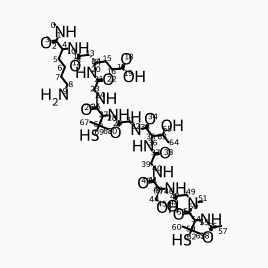 CNC(=O)C(CCCCN)NC(=O)C[C@H](CCC(=O)O)NC(=O)CNC(=O)C(NC(=O)CNC(=O)C(NC(=O)CNC(=O)[C@H](CO)NC(=O)CN(C)C(=O)C(NC(C)=O)C(C)(C)S)C(C)O)C(C)(C)S